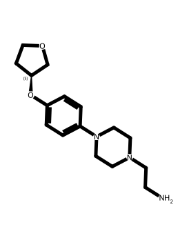 NCCN1CCN(c2ccc(O[C@H]3CCOC3)cc2)CC1